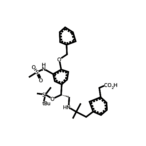 CC(C)(Cc1cccc(CC(=O)O)c1)NC[C@H](O[Si](C)(C)C(C)(C)C)c1ccc(OCc2ccccc2)c(NS(C)(=O)=O)c1